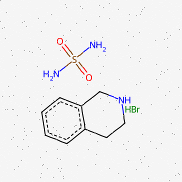 Br.NS(N)(=O)=O.c1ccc2c(c1)CCNC2